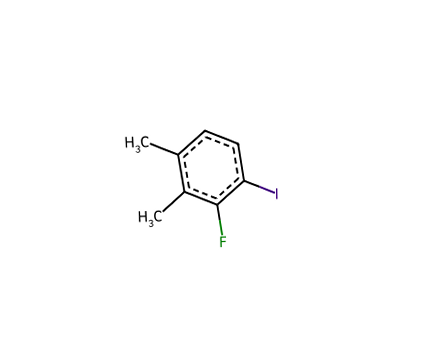 Cc1ccc(I)c(F)c1C